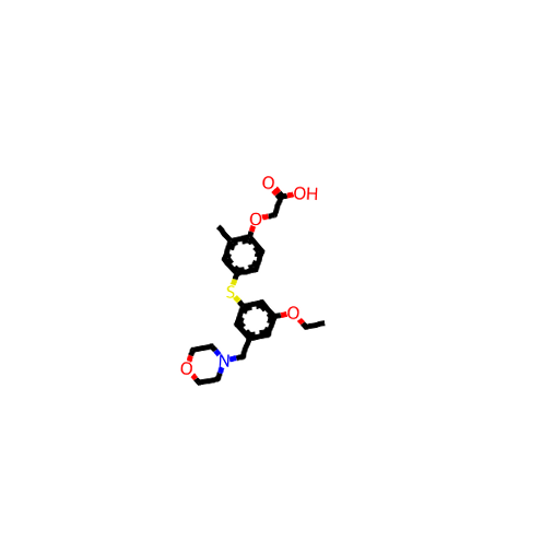 CCOc1cc(CN2CCOCC2)cc(Sc2ccc(OCC(=O)O)c(C)c2)c1